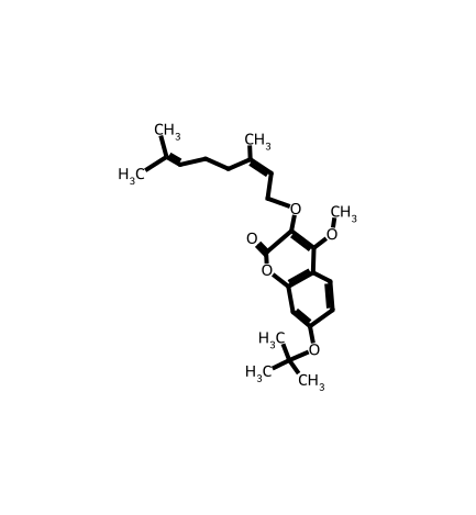 COc1c(OCC=C(C)CCC=C(C)C)c(=O)oc2cc(OC(C)(C)C)ccc12